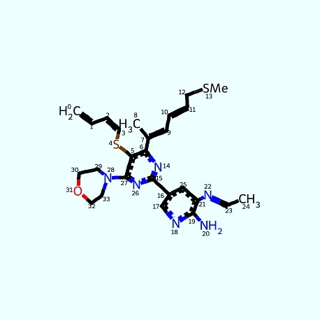 C=C/C=C\Sc1c(/C(C)=C/C=C/CSC)nc(-c2cnc(N)c(/N=C/C)c2)nc1N1CCOCC1